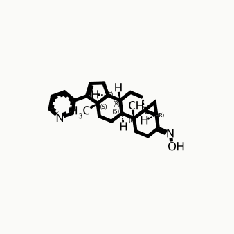 C[C@]12CC[C@H]3[C@@H](CC[C@]45C[C@H]4C(=NO)CC[C@]35C)[C@@H]1CC=C2c1cccnc1